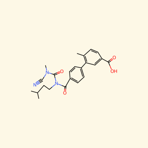 Cc1ccc(C(=O)O)cc1-c1ccc(C(=O)N(CCC(C)C)C(=O)N(C)C#N)cc1